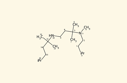 CC(C)CCN(C)C(C)(C)CCNC(C)(C)CCC(C)C